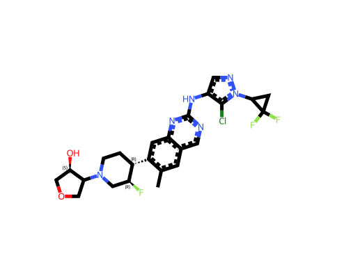 Cc1cc2cnc(Nc3cnn(C4CC4(F)F)c3Cl)nc2cc1[C@H]1CCN(C2COC[C@H]2O)C[C@@H]1F